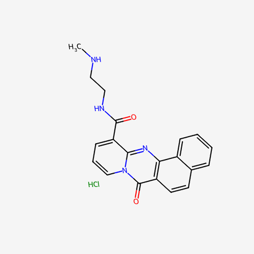 CNCCNC(=O)c1cccn2c(=O)c3ccc4ccccc4c3nc12.Cl